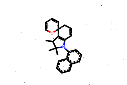 CC1C2=C(C=CCC23C=CC=CO3)N(c2cccc3ccccc23)C1(C)C